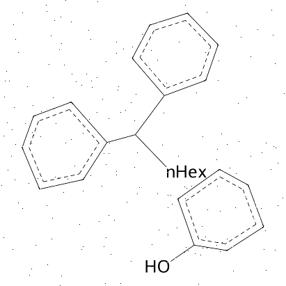 CCCCCCC(c1ccccc1)c1ccccc1.Oc1ccccc1